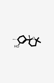 C[C@@H]1CCC([C@@]2(C)CCCC(C)(C)O2)=C[C@H]1O